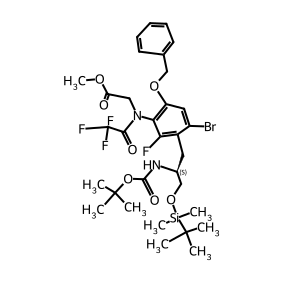 COC(=O)CN(C(=O)C(F)(F)F)c1c(OCc2ccccc2)cc(Br)c(C[C@@H](CO[Si](C)(C)C(C)(C)C)NC(=O)OC(C)(C)C)c1F